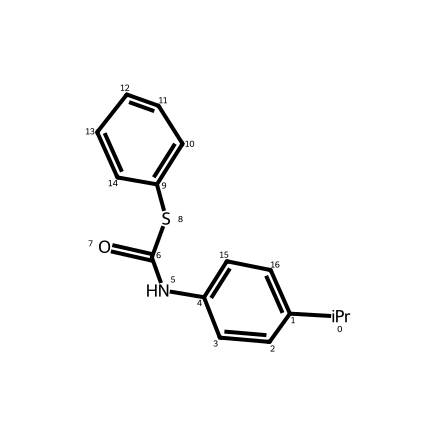 CC(C)c1ccc(NC(=O)Sc2ccccc2)cc1